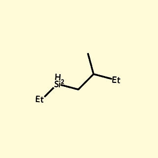 CC[SiH2]CC(C)CC